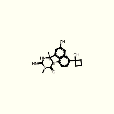 CN1C(=N)N[C@](C)(c2cccc(C#N)c2)[C@@H](c2ccc(C3(O)CCC3)cc2)C1=O